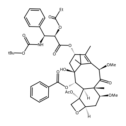 CCC(=O)O[C@@H](C(=O)O[C@H]1C[C@@]2(O)[C@@H](OC(=O)c3ccccc3)[C@@H]3[C@]4(OC(C)=O)CO[C@@H]4C[C@H](OC)[C@@]3(C)C(=O)[C@H](OC)C(=C1C)C2(C)C)[C@@H](NC(=O)OC(C)(C)C)c1ccccc1